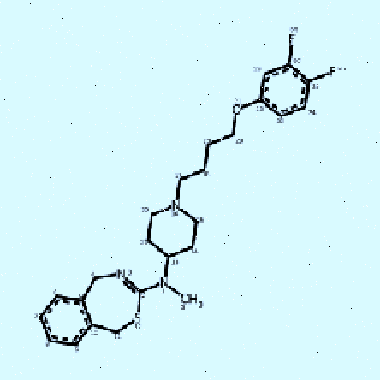 CN(C1=NCc2ccccc2CS1)C1CCN(CCCCOc2ccc(F)c(F)c2)CC1